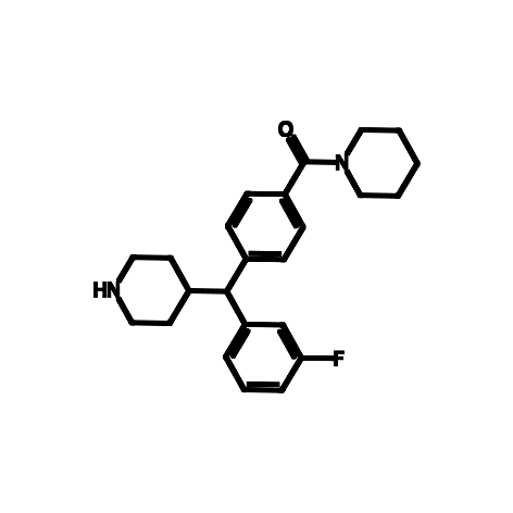 O=C(c1ccc(C(c2cccc(F)c2)C2CCNCC2)cc1)N1CCCCC1